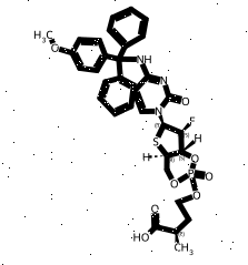 COc1ccc(C(Nc2ccn([C@@H]3S[C@@H]4COP(=O)(OCC[C@@H](C)C(=O)O)O[C@H]4[C@@H]3F)c(=O)n2)(c2ccccc2)c2ccccc2)cc1